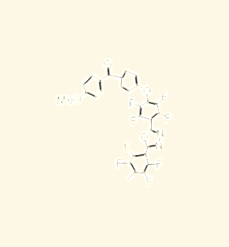 COc1ccc(C(=O)c2ccc(Oc3c(F)c(F)c(-c4nnc(-c5c(F)c(F)c(C)c(F)c5F)o4)c(F)c3F)cc2)cc1